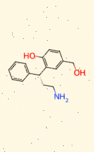 NCC[C@H](c1ccccc1)c1cc(CO)ccc1O